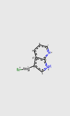 [Br][Mg][c]1c[nH]c2ncccc12